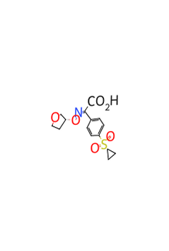 O=C(O)/C(=N/O[C@@H]1CCOC1)c1ccc(S(=O)(=O)C2CC2)cc1